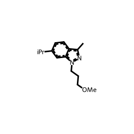 COCCCn1nc(C)c2ccc(C(C)C)cc21